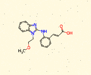 COCCn1c(Nc2ccccc2C=CC(=O)O)nc2ccccc21